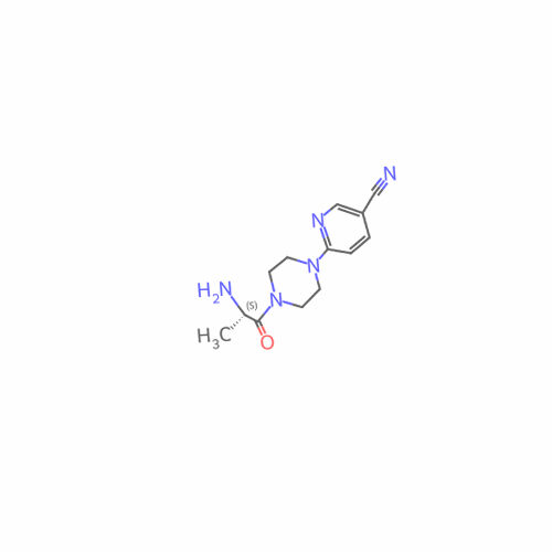 C[C@H](N)C(=O)N1CCN(c2ccc(C#N)cn2)CC1